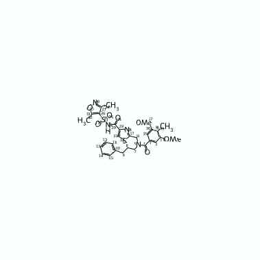 COc1cc(C(=O)N(CCCc2ccccc2)Cc2nc(C(=O)NS(=O)(=O)c3c(C)noc3C)cs2)cc(OC)c1C